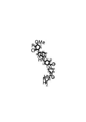 COc1ccc(-c2cnc3c(Nc4ccc(C(=O)N5CCN(C(=O)NC[C@@H](C)N)CC5)c(C)c4)nccn23)c(Cl)c1F